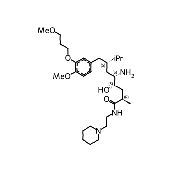 COCCCOc1cc(C[C@@H](C[C@H](N)[C@@H](O)C[C@@H](C)C(=O)NCCN2CCCCC2)C(C)C)ccc1OC